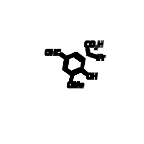 CC(C)CC(=O)O.COc1cc(C=O)ccc1O